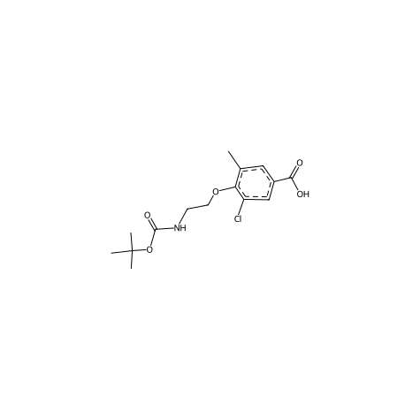 Cc1cc(C(=O)O)cc(Cl)c1OCCNC(=O)OC(C)(C)C